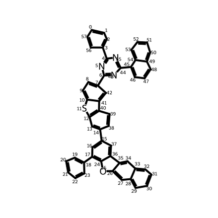 c1ccc(-c2nc(-c3ccc4sc5cc(-c6cc(-c7ccccc7)c7oc8cc9ccccc9cc8c7c6)ccc5c4c3)nc(-c3cccc4ccccc34)n2)cc1